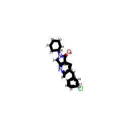 Cc1nc2c(cc1Cc1cccc(Cl)c1)C(=O)N(C1CCCCC1)C2